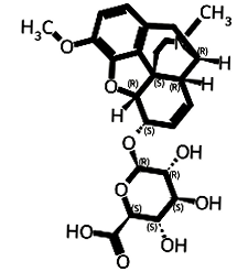 COc1ccc2c3c1O[C@H]1[C@@H](O[C@@H]4O[C@H](C(=O)O)[C@@H](O)[C@H](O)[C@H]4O)C=C[C@H]4[C@@H](C2)N(C)CC[C@@]341